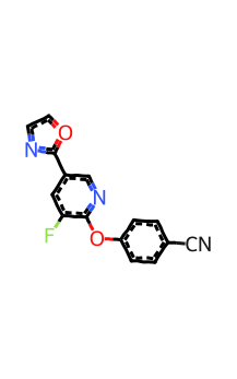 N#Cc1ccc(Oc2ncc(-c3ncco3)cc2F)cc1